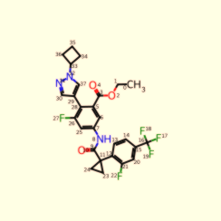 CCOC(=O)c1cc(NC(=O)C2(c3ccc(C(F)(F)F)cc3F)CC2)cc(F)c1-c1cnn(C2CCC2)c1